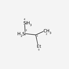 CCC(C)[SiH2][SiH3]